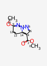 COC(=O)c1cnn2nc(OC)ccc12